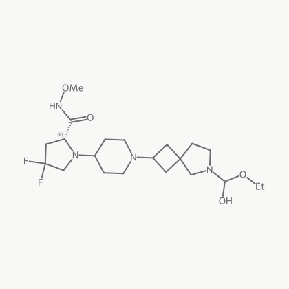 CCOC(O)N1CCC2(CC(N3CCC(N4CC(F)(F)C[C@@H]4C(=O)NOC)CC3)C2)C1